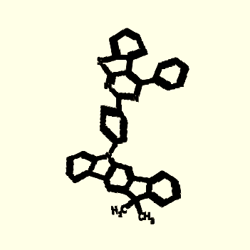 CC1(C)c2ccccc2-c2cc3c(cc21)c1ccccc1n3-c1ccc(-c2nc(-c3ccccc3)c3c(n2)sc2ccccc23)cc1